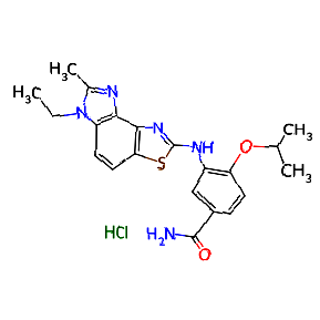 CCn1c(C)nc2c3nc(Nc4cc(C(N)=O)ccc4OC(C)C)sc3ccc21.Cl